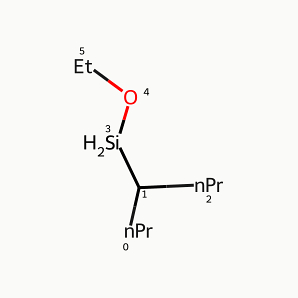 CCCC(CCC)[SiH2]OCC